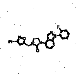 CC(C)c1cc(CN2CCN(c3cccc4c3cnn4-c3ccccc3F)C2=O)on1